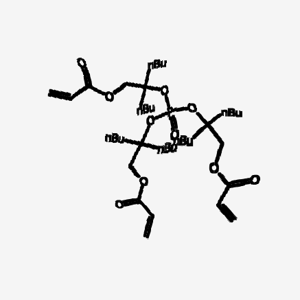 C=CC(=O)OCC(CCCC)(CCCC)OP(=O)(OC(CCCC)(CCCC)COC(=O)C=C)OC(CCCC)(CCCC)COC(=O)C=C